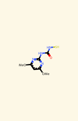 COc1cc(OC)nc(NC(=O)NS)n1